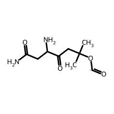 CC(C)(CC(=O)C(N)CC(N)=O)O[C]=O